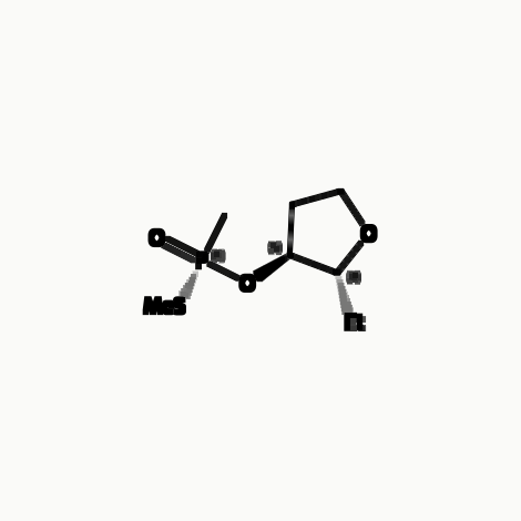 CC[C@H]1OCC[C@@H]1O[P@](C)(=O)SC